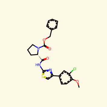 COc1ccc(-c2csc(NC(=O)[C@@H]3CCCN3C(=O)OCc3ccccc3)n2)cc1Cl